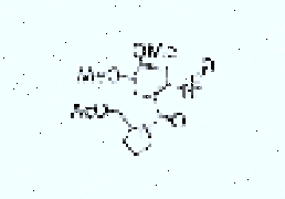 COc1cc(N=C=O)c(C(=O)N2CCC[C@H]2COC(C)=O)cc1OC